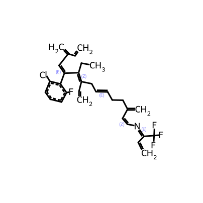 C=CC(=C)/C=C(\C(CC)=C(/C=C)C/C=C/CCC(=C)/C=C\N=C(/C=C)C(F)(F)F)c1c(F)cccc1Cl